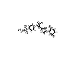 CC1(C)[C@@H](c2ccc(S(N)(=O)=O)cc2)[C@@H]1c1nc(-c2cc(F)ccc2F)co1